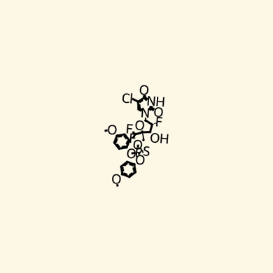 COc1ccc(OP(=S)(OC[C@@]2(C(F)F)O[C@@H](n3cc(Cl)c(=O)[nH]c3=O)[C@H](F)[C@@H]2O)Oc2ccc(OC)cc2)cc1